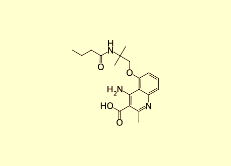 CCCC(=O)NC(C)(C)COc1cccc2nc(C)c(C(=O)O)c(N)c12